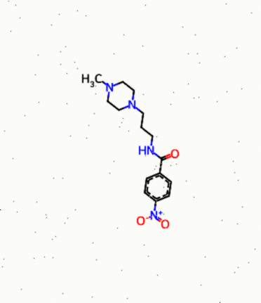 CN1CCN(CCCNC(=O)c2ccc([N+](=O)[O-])cc2)CC1